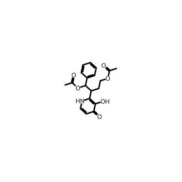 CC(=O)OCCC(c1[nH]ccc(=O)c1O)C(OC(C)=O)c1ccccc1